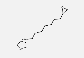 C1CCOC1.CCCCCCCCCCCCCCCCC1CO1